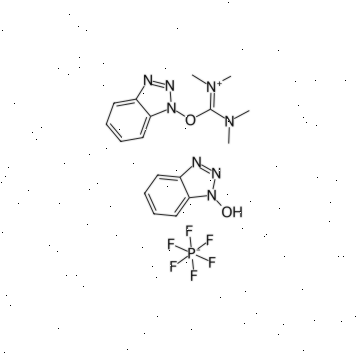 CN(C)C(On1nnc2ccccc21)=[N+](C)C.F[P-](F)(F)(F)(F)F.On1nnc2ccccc21